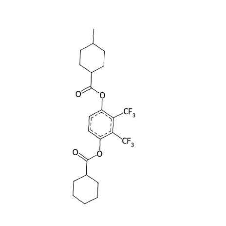 CC1CCC(C(=O)Oc2ccc(OC(=O)C3CCCCC3)c(C(F)(F)F)c2C(F)(F)F)CC1